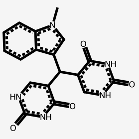 Cn1cc(C(c2c[nH]c(=O)[nH]c2=O)c2c[nH]c(=O)[nH]c2=O)c2ccccc21